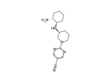 N#Cc1cnc(N2CCC[C@H](N[C@@H]3CCCC[C@H]3N)C2)nc1